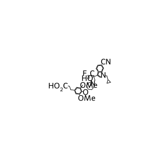 COc1cc(CCC(=O)O)cc(OC)c1OC1CCN(CC(O)(c2cn(CC3CC3)c3cc(C#N)ccc23)C(F)(F)F)CC1